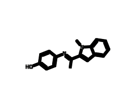 C/C(=N\c1ccc(O)cc1)c1cc2ccccc2n1C